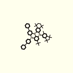 Cc1cc2c(cc1N1c3cc4c(cc3B3c5cc(-c6ccccc6)ccc5N(c5ccc(-c6ccccc6)cc5)c5cc(C(C)(C)C)cc1c53)C(C)(C)CCC4(C)C)C(C)(C)CC2(C)C